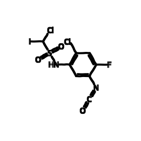 O=C=Nc1cc(NS(=O)(=O)C(Cl)I)c(Cl)cc1F